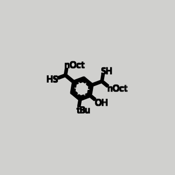 CCCCCCCCC(S)c1cc(C(S)CCCCCCCC)c(O)c(C(C)(C)C)c1